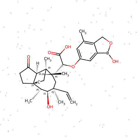 C=C[C@]1(C)C[C@@H](C(Oc2cc(C)c3c(c2)B(O)OC3)C(=O)O)[C@@]2(C)[C@H](C)CC[C@]3(CCC(=O)[C@H]32)[C@@H](C)[C@@H]1O